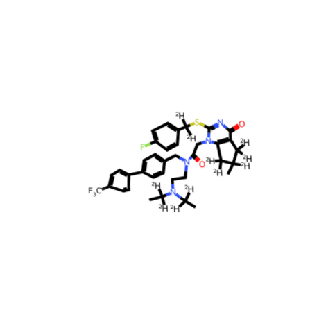 [2H]C([2H])(Sc1nc(=O)c2c(n1CC(=O)N(CCN(C([2H])([2H])C)C([2H])([2H])C)Cc1ccc(-c3ccc(C(F)(F)F)cc3)cc1)C([2H])([2H])C([2H])(C)C2([2H])[2H])c1ccc(F)cc1